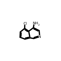 Nc1cncc2cccc(Cl)c12